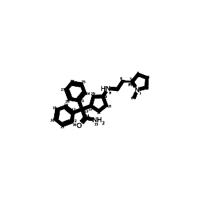 CN1CCC[C@@H]1CCNC1CCC(C(C(N)=O)(c2ccccc2)c2ccccc2)C1